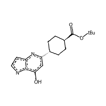 CC(C)(C)OC(=O)[C@H]1CC[C@H](c2cc(O)n3nccc3n2)CC1